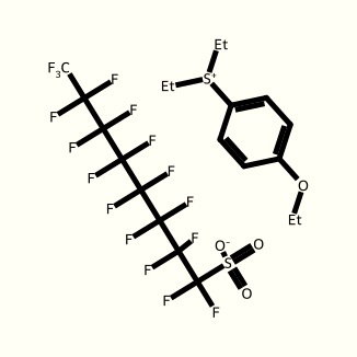 CCOc1ccc([S+](CC)CC)cc1.O=S(=O)([O-])C(F)(F)C(F)(F)C(F)(F)C(F)(F)C(F)(F)C(F)(F)C(F)(F)C(F)(F)F